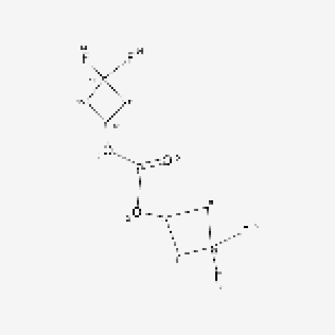 O=C(OC1CC(F)(F)C1)OC1CC(F)(F)C1